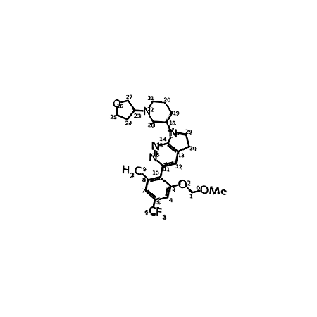 COCOc1cc(C(F)(F)F)cc(C)c1-c1cc2c(nn1)N([C@@H]1CCCN(C3CCOC3)C1)CC2